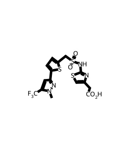 Cn1nc(-c2ccc(CS(=O)(=O)Nc3nc(CC(=O)O)cs3)s2)cc1C(F)(F)F